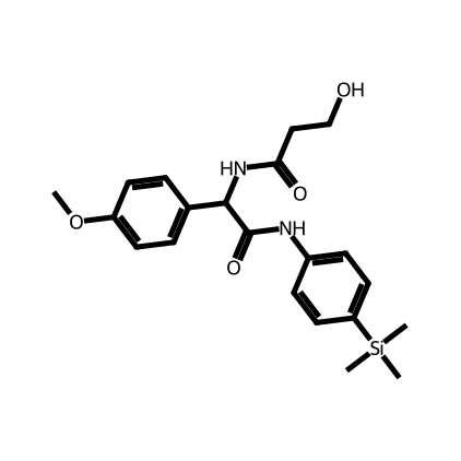 COc1ccc(C(NC(=O)CCO)C(=O)Nc2ccc([Si](C)(C)C)cc2)cc1